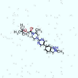 C[C@@H]1CN(c2ncc(-c3ccc4c(c3)NN(C)C4)cn2)CCN1C(=O)COC(C)(C)C